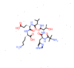 CC(C)[C@H](NC(=O)[C@@H](NC(=O)[C@H](Cc1c[nH]cn1)NC(=O)C(C)(C)N)[C@@H](C)O)C(=O)N[C@@H](CCC(=O)O)C(=O)N[C@@H](CCCCN)C(=O)O